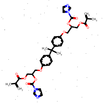 C=C(C)C(=O)OCC(COc1ccc(C(C)(C)c2ccc(OCC(COC(=O)C(=C)C)OC(=O)n3ccnc3)cc2)cc1)OC(=O)n1ccnc1